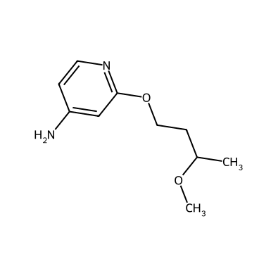 COC(C)CCOc1cc(N)ccn1